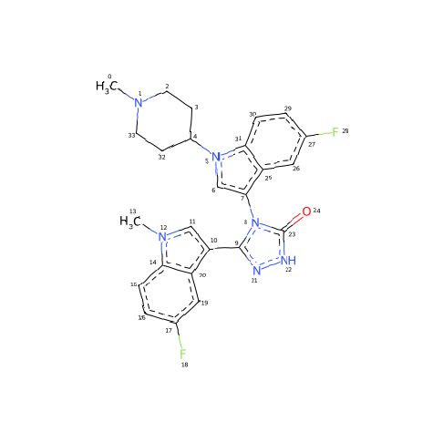 CN1CCC(n2cc(-n3c(-c4cn(C)c5ccc(F)cc45)n[nH]c3=O)c3cc(F)ccc32)CC1